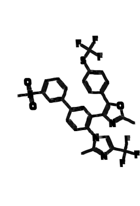 Cc1nc(-c2cc(-c3cccc(S(C)(=O)=O)c3)ccc2-n2cc(C(F)(F)F)nc2C)c(-c2ccc(SC(F)(F)F)cc2)o1